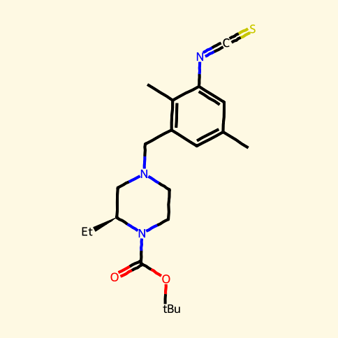 CC[C@H]1CN(Cc2cc(C)cc(N=C=S)c2C)CCN1C(=O)OC(C)(C)C